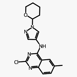 Cc1ccc2nc(Cl)nc(Nc3cnn(C4CCCCO4)c3)c2c1